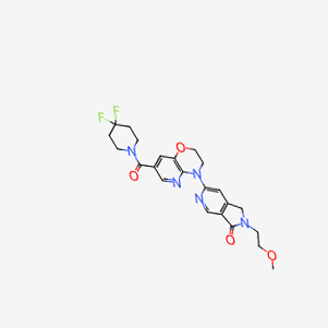 COCCN1Cc2cc(N3CCOc4cc(C(=O)N5CCC(F)(F)CC5)cnc43)ncc2C1=O